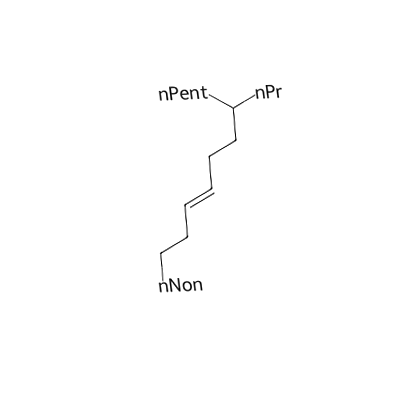 CCCCCCCCCCCC=CCCC(CCC)CCCCC